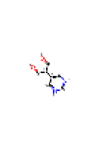 O=CC(C=O)c1cncnc1